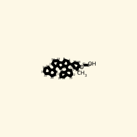 Cc1cc(-c2ccc3c(c2-c2cccc4ccccc24)Cc2c-3cccc2-c2cccc3ccccc23)ccc1OCCO